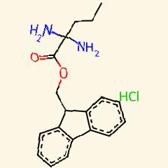 CCCC(N)(N)C(=O)OCC1c2ccccc2-c2ccccc21.Cl